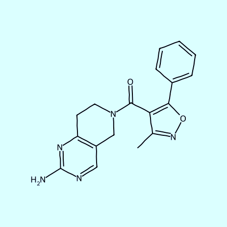 Cc1noc(-c2ccccc2)c1C(=O)N1CCc2nc(N)ncc2C1